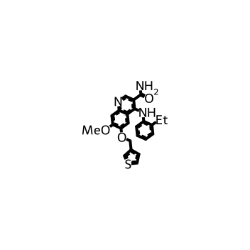 CCc1ccccc1Nc1c(C(N)=O)cnc2cc(OC)c(OCc3ccsc3)cc12